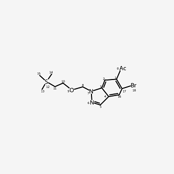 CC(=O)c1cc2c(cnn2COCCS(C)(C)C)cc1Br